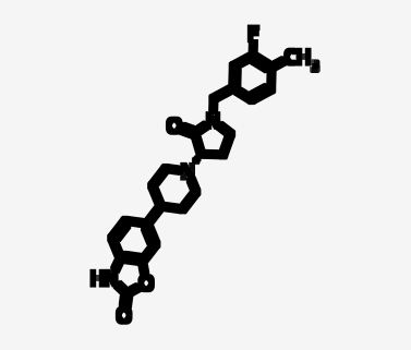 Cc1ccc(CN2CC[C@H](N3CCC(c4ccc5[nH]c(=O)oc5c4)CC3)C2=O)cc1F